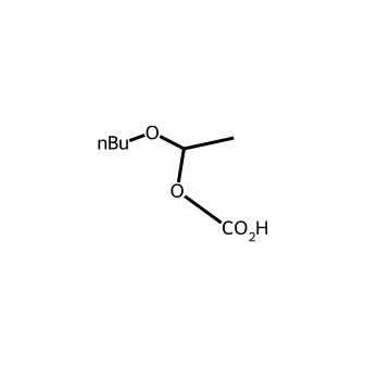 CCCCOC(C)OC(=O)O